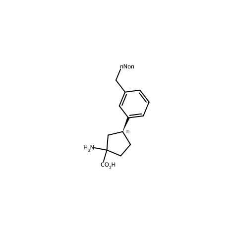 CCCCCCCCCCc1cccc([C@H]2CCC(N)(C(=O)O)C2)c1